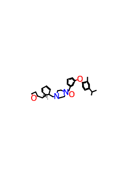 Cc1cc(C(C)C)ccc1Oc1cccc(C(=O)N2CCN(CC3C=CC=C[C@]3(C)CC3CCO3)CC2)c1